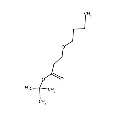 CCCCOCCC(=O)OC(C)(C)C